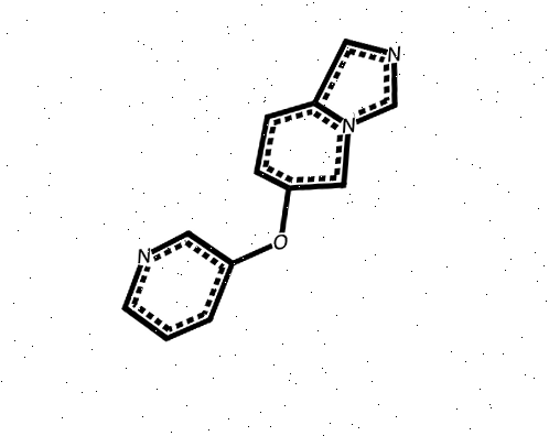 c1cncc(Oc2ccc3cncn3c2)c1